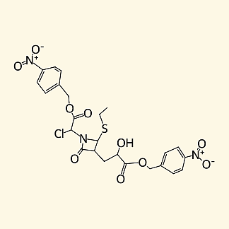 CCSC1C(CC(O)C(=O)OCc2ccc([N+](=O)[O-])cc2)C(=O)N1C(Cl)C(=O)OCc1ccc([N+](=O)[O-])cc1